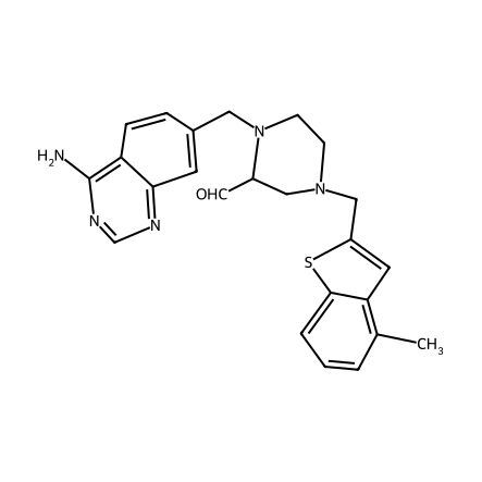 Cc1cccc2sc(CN3CCN(Cc4ccc5c(N)ncnc5c4)C(C=O)C3)cc12